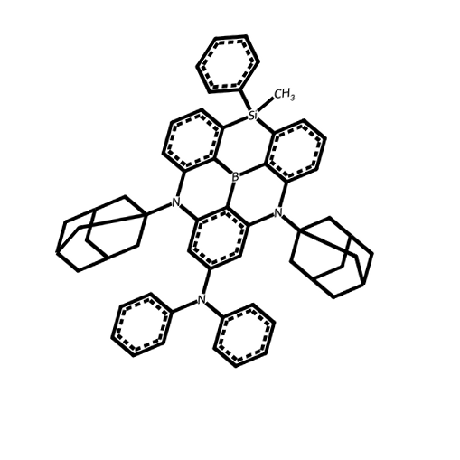 C[Si]1(c2ccccc2)c2cccc3c2B2c4c(cc(N(c5ccccc5)c5ccccc5)cc4N(C45CC6CC(CC(C6)C4)C5)c4cccc1c42)N3C12CC3CC(CC(C3)C1)C2